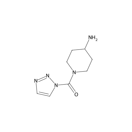 NC1CCN(C(=O)n2ccnn2)CC1